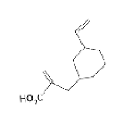 C=CC1CCCC(CC(=C)C(=O)O)C1